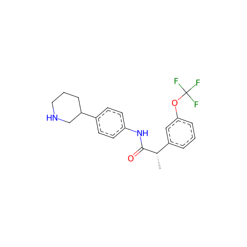 C[C@H](C(=O)Nc1ccc(C2CCCNC2)cc1)c1cccc(OC(F)(F)F)c1